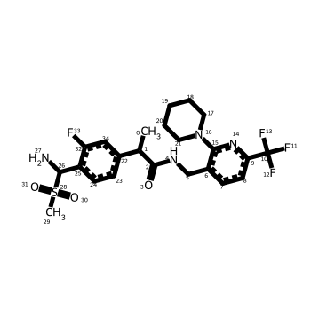 CC(C(=O)NCc1ccc(C(F)(F)F)nc1N1CCCCC1)c1ccc(C(N)S(C)(=O)=O)c(F)c1